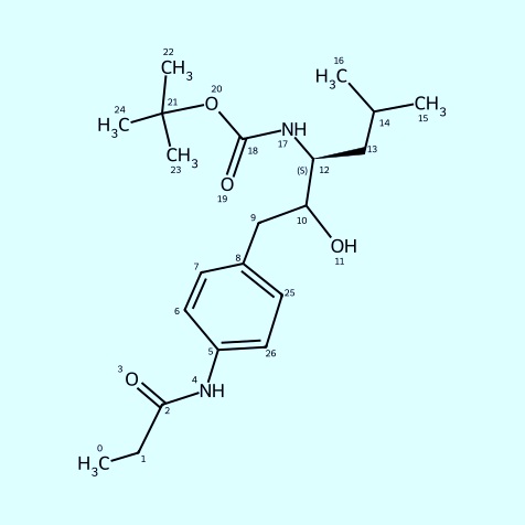 CCC(=O)Nc1ccc(CC(O)[C@H](CC(C)C)NC(=O)OC(C)(C)C)cc1